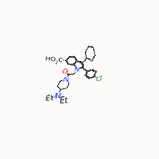 CCN(CC)C1CCN(C(=O)Cn2c(-c3ccc(Cl)cc3)c(C3CCCCC3)c3ccc(C(=O)O)cc32)CC1